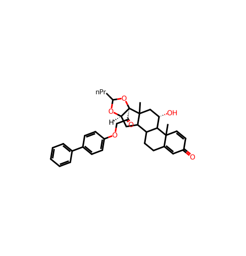 CCCC1O[C@@H]2CC3C4CCC5=CC(=O)C=CC5(C)C4[C@@H](O)CC3(C)[C@]2(C(=O)COc2ccc(-c3ccccc3)cc2)O1